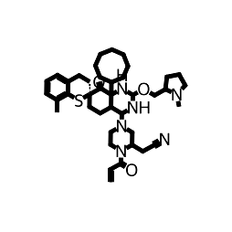 C=CC(=O)N1CCN(C2NC(OCC3CCCN3C)NC3(C4CCCCCCC4)C(=O)[C@@]4(CCc5cccc(C)c5S4)CCC23)CC1CC#N